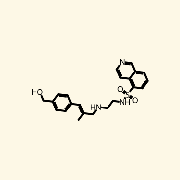 CC(=Cc1ccc(CO)cc1)CNCCNS(=O)(=O)c1cccc2cnccc12